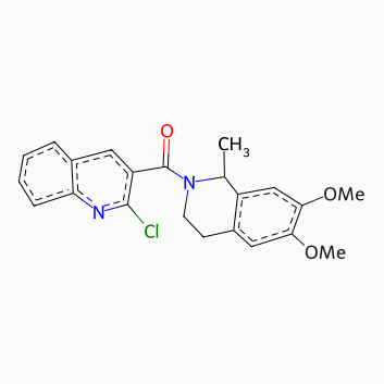 COc1cc2c(cc1OC)C(C)N(C(=O)c1cc3ccccc3nc1Cl)CC2